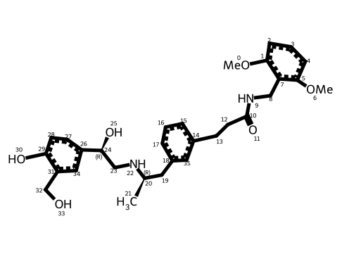 COc1cccc(OC)c1CNC(=O)CCc1cccc(C[C@@H](C)NC[C@H](O)c2ccc(O)c(CO)c2)c1